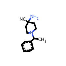 CC(c1ccccc1)N1CCC(N)(C#N)CC1